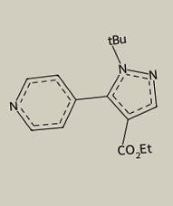 CCOC(=O)c1cnn(C(C)(C)C)c1-c1ccncc1